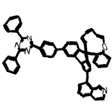 C1=C\C=C\C2(c3ccccc3O/C=C/1)c1ccc(-c3ccc(-c4nc(-c5ccccc5)nc(-c5ccccc5)n4)cc3)cc1-c1cc(-c3cccc4ccncc34)ccc12